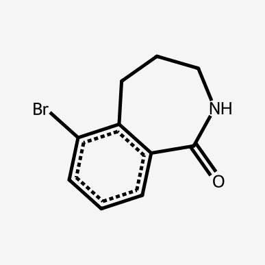 O=C1NCCCc2c(Br)cccc21